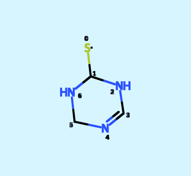 [S]C1NC=NCN1